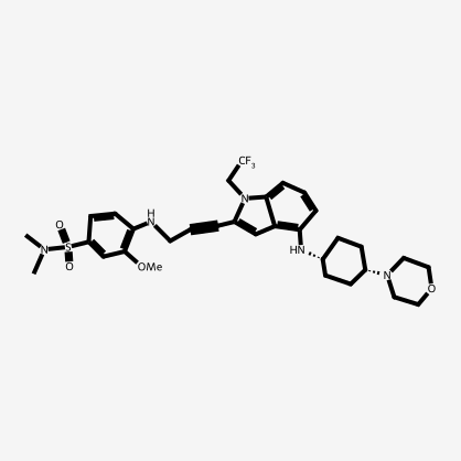 COc1cc(S(=O)(=O)N(C)C)ccc1NCC#Cc1cc2c(N[C@H]3CC[C@@H](N4CCOCC4)CC3)cccc2n1CC(F)(F)F